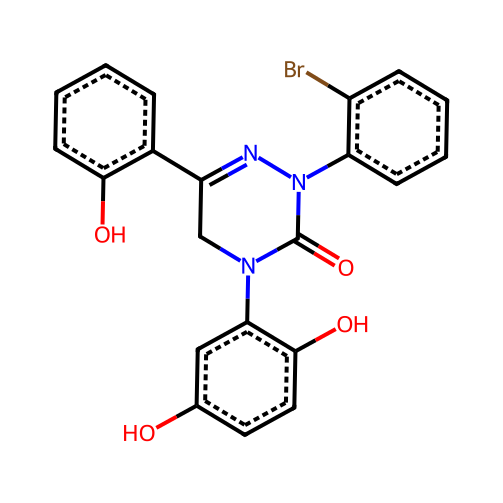 O=C1N(c2cc(O)ccc2O)CC(c2ccccc2O)=NN1c1ccccc1Br